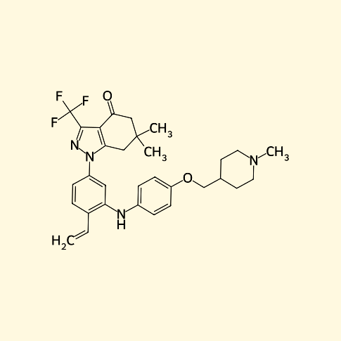 C=Cc1ccc(-n2nc(C(F)(F)F)c3c2CC(C)(C)CC3=O)cc1Nc1ccc(OCC2CCN(C)CC2)cc1